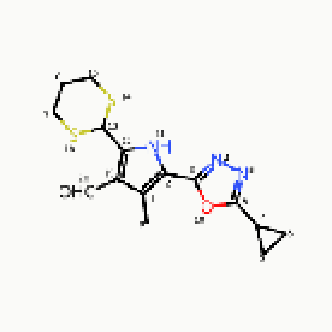 Cc1c(-c2nnc(C3CC3)o2)[nH]c(C2SCCCS2)c1C=O